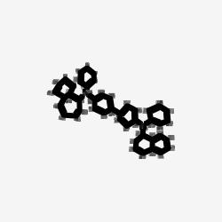 C1=CC2=C(N(C3=CCCC=C3)c3ccc(-c4ccc(N(c5ccccc5)C5CC=Cc6ccccc65)cc4)cc3)C=CC=CC2C=C1